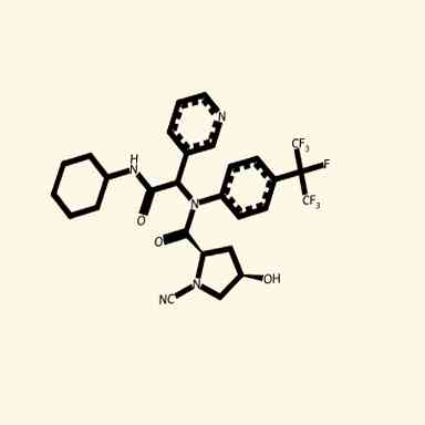 N#CN1C[C@H](O)C[C@@H]1C(=O)N(c1ccc(C(F)(C(F)(F)F)C(F)(F)F)cc1)C(C(=O)NC1CCCCC1)c1cccnc1